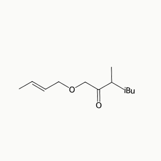 C/C=C/COCC(=O)C(C)C(C)CC